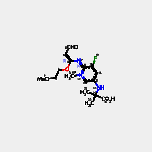 COCCOC(=C/C=O)/N=c1/c(F)cc(NC(C)(C)C(=O)O)cn1C